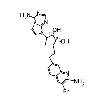 Nc1nc2cc(CCC3CC(n4ccc5c(N)ncnc54)[C@H](O)[C@@H]3O)ccc2cc1Br